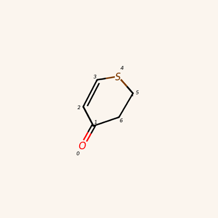 O=C1C=CS[CH]C1